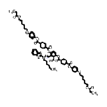 C=CC(=O)OCCCCCCOc1ccc(OC(=O)C2CCC(C(=O)Oc3ccc(OC(=O)C4CCC(C(=O)Oc5ccc(OCCCCCCOC(=O)C=C)cc5)CC4)c(/C=N/N(CCCCCC)c4nc5ccccc5s4)c3C=N)CC2)cc1